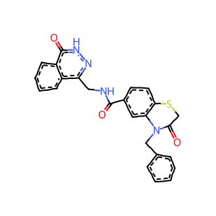 O=C(NCc1n[nH]c(=O)c2ccccc12)c1ccc2c(c1)N(Cc1ccccc1)C(=O)CS2